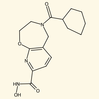 O=C(NO)c1ccc2c(n1)OCCN(C(=O)C1CCCCC1)C2